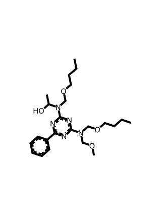 CCCCOCN(COC)c1nc(-c2ccccc2)nc(N(COCCCC)C(C)O)n1